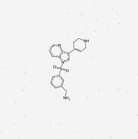 NCc1cccc(S(=O)(=O)n2cc(C3=CCNCC3)c3ncccc32)c1